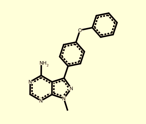 Cn1nc(-c2ccc(Oc3ccccc3)cc2)c2c(N)ncnc21